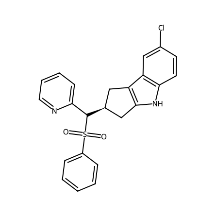 O=S(=O)(c1ccccc1)C(c1ccccn1)[C@@H]1Cc2[nH]c3ccc(Cl)cc3c2C1